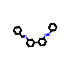 C(=N\c1cccc(-c2cccc(/N=N/c3ccccc3)c2)c1)/c1ccccc1